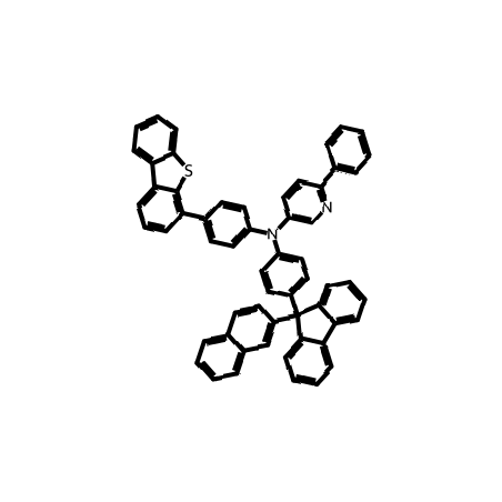 c1ccc(-c2ccc(N(c3ccc(-c4cccc5c4sc4ccccc45)cc3)c3ccc(C4(c5ccc6ccccc6c5)c5ccccc5-c5ccccc54)cc3)cn2)cc1